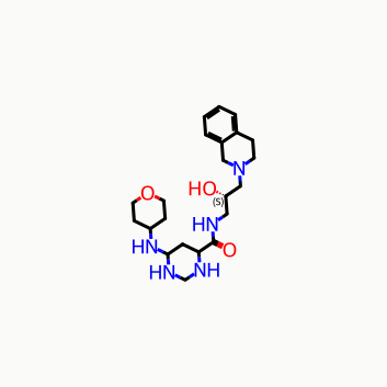 O=C(NC[C@H](O)CN1CCc2ccccc2C1)C1CC(NC2CCOCC2)NCN1